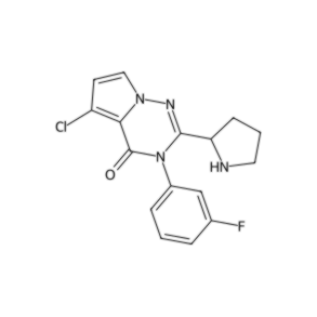 O=c1c2c(Cl)ccn2nc(C2CCCN2)n1-c1cccc(F)c1